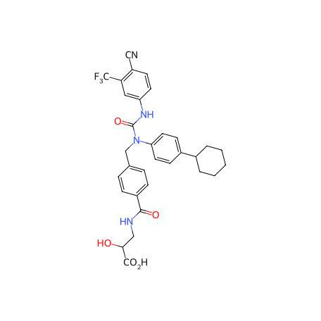 N#Cc1ccc(NC(=O)N(Cc2ccc(C(=O)NCC(O)C(=O)O)cc2)c2ccc(C3CCCCC3)cc2)cc1C(F)(F)F